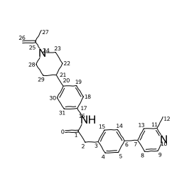 C=C(Cc1ccc(-c2ccnc(C)c2)cc1)Nc1ccc(C2CCN(C(=C)C)CC2)cc1